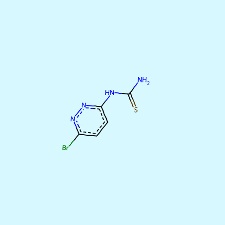 NC(=S)Nc1ccc(Br)nn1